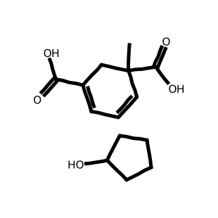 CC1(C(=O)O)C=CC=C(C(=O)O)C1.OC1CCCC1